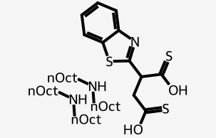 CCCCCCCCNCCCCCCCC.CCCCCCCCNCCCCCCCC.OC(=S)CC(C(O)=S)c1nc2ccccc2s1